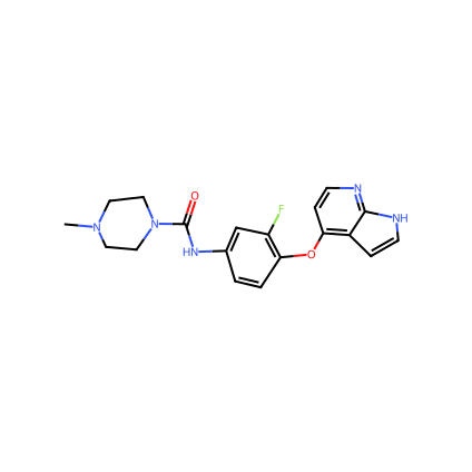 CN1CCN(C(=O)Nc2ccc(Oc3ccnc4[nH]ccc34)c(F)c2)CC1